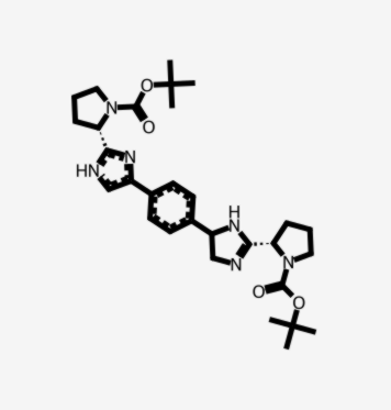 CC(C)(C)OC(=O)N1CCC[C@H]1C1=NCC(c2ccc(-c3c[nH]c([C@@H]4CCCN4C(=O)OC(C)(C)C)n3)cc2)N1